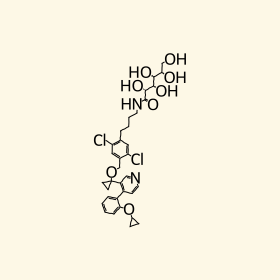 O=C(NCCCCc1cc(Cl)c(COC2(c3cnccc3-c3ccccc3OC3CC3)CC2)cc1Cl)[C@H](O)[C@H](O)[C@@H](O)[C@H](O)CO